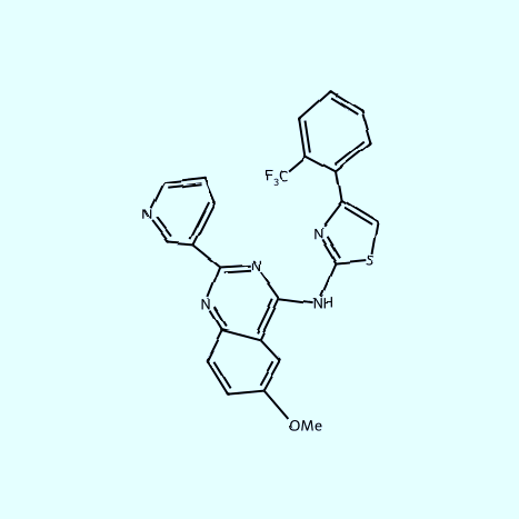 COc1ccc2nc(-c3cccnc3)nc(Nc3nc(-c4ccccc4C(F)(F)F)cs3)c2c1